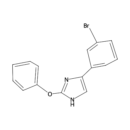 Brc1cccc(-c2c[nH]c(Oc3ccccc3)n2)c1